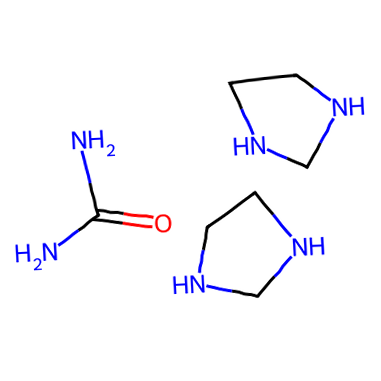 C1CNCN1.C1CNCN1.NC(N)=O